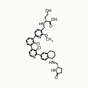 COc1nc(-c2cccc(-c3ccnc(-c4ccc5c(c4)CCC[C@@H]5NC[C@H]4CCC(=O)N4)c3Cl)c2Cl)ccc1CN[C@@H](CCO)C(=O)O